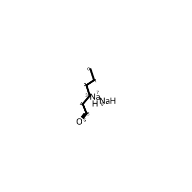 CCCCCC=O.[NaH].[NaH]